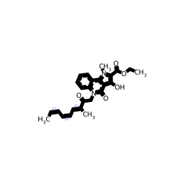 C\C=C/C=C\C=C(/C)C(=O)Cn1c(=O)c2c(O)c(C(=O)OCC)n(C)c2c2ccccc21